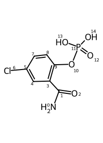 NC(=O)c1cc(Cl)ccc1OP(=O)(O)O